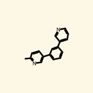 Cc1ccc(-c2cccc(-c3cccnc3)c2)cn1